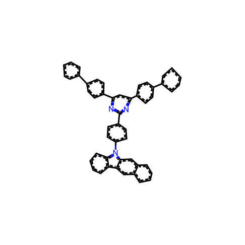 c1ccc(-c2ccc(-c3cc(-c4ccc(-c5ccccc5)cc4)nc(-c4ccc(-n5c6ccccc6c6cc7ccccc7cc65)cc4)n3)cc2)cc1